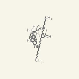 CC(C)CCC[C@@H](C)[C@H]1CC[C@H]2[C@@H]3CC=C4C[C@@H](O)CC[C@]4(C)[C@H]3CC[C@]12C.CCCCCCCCCCCCCCC(CCCCCCCCCCCC)CC(=O)O